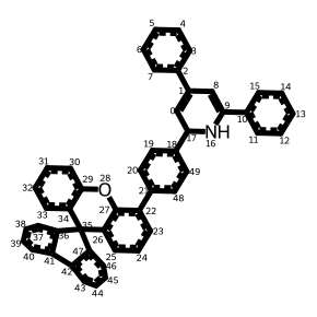 C1=C(c2ccccc2)C=C(c2ccccc2)NC1c1ccc(-c2cccc3c2Oc2ccccc2C32c3ccccc3-c3ccccc32)cc1